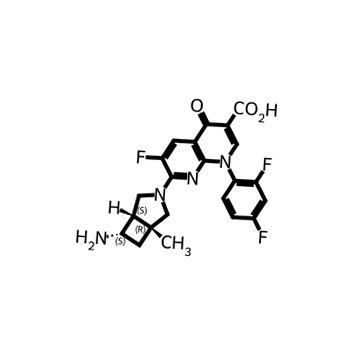 C[C@@]12C[C@H](N)[C@@H]1CN(c1nc3c(cc1F)c(=O)c(C(=O)O)cn3-c1ccc(F)cc1F)C2